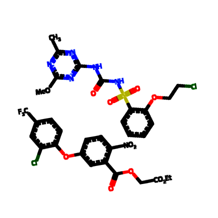 CCOC(=O)COC(=O)c1cc(Oc2ccc(C(F)(F)F)cc2Cl)ccc1[N+](=O)[O-].COc1nc(C)nc(NC(=O)NS(=O)(=O)c2ccccc2OCCCl)n1